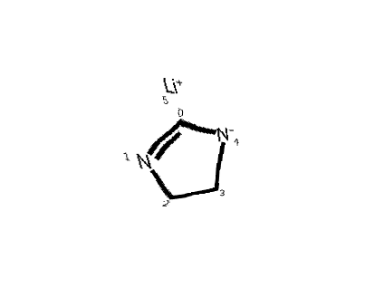 C1=NCC[N-]1.[Li+]